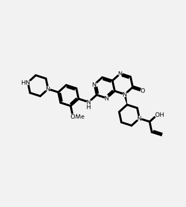 C=CC(O)N1CCC[C@@H](n2c(=O)cnc3cnc(Nc4ccc(N5CCNCC5)cc4OC)nc32)C1